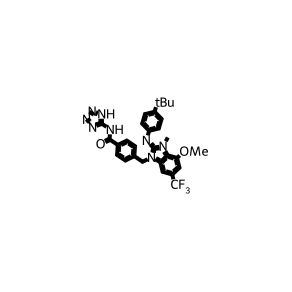 COc1cc(C(F)(F)F)cc2c1n(C)c(=Nc1ccc(C(C)(C)C)cc1)n2Cc1ccc(C(=O)Nc2nnn[nH]2)cc1